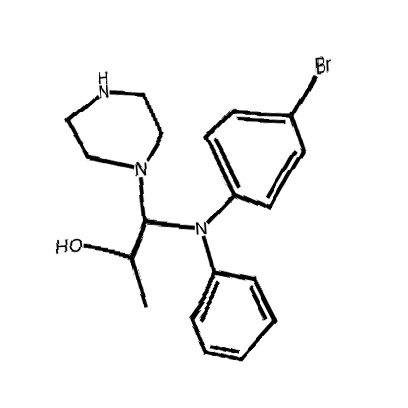 CC(O)C(N1CCNCC1)N(c1ccccc1)c1ccc(Br)cc1